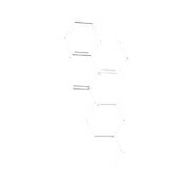 CNC1CCN(C(=O)c2ccnc3ccccc23)CC1